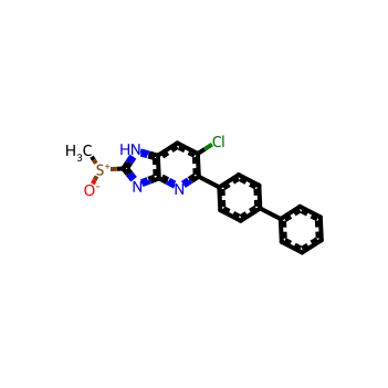 C[S+]([O-])c1nc2nc(-c3ccc(-c4ccccc4)cc3)c(Cl)cc2[nH]1